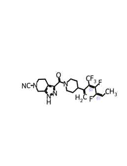 C=C(/C(=C(F)\C(F)=C/C)C(F)(F)F)C1CCN(C(=O)c2n[nH]c3c2CCN(C#N)C3)CC1